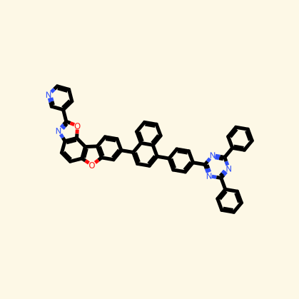 c1ccc(-c2nc(-c3ccccc3)nc(-c3ccc(-c4ccc(-c5ccc6c(c5)oc5ccc7nc(-c8cccnc8)oc7c56)c5ccccc45)cc3)n2)cc1